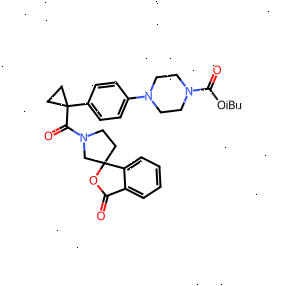 CC(C)COC(=O)N1CCN(c2ccc(C3(C(=O)N4CCC5(C4)OC(=O)c4ccccc45)CC3)cc2)CC1